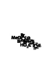 COc1c(Br)cc(C(=O)Nc2csc(-c3cccc(F)c3)c2C(=O)O)c(Br)c1Br